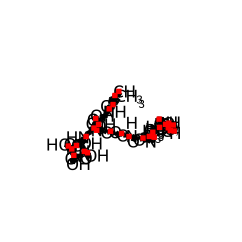 CC(C)Cc1ccc(CC(=O)NCCCCC(NC(=O)C(CCCCNC(=O)CN2CCN(CC(=O)O)CCN(CC(=O)O)CCN(CC(=O)O)CC2)NC(=O)CCOCCOCCOCCNC(=O)COc2ccc3c(C(=O)NCC(=O)N4CCC[C@H]4B4O[C@@H]5[C@@H]6C[C@H](C[C@]5(C)O4)C6(C)C)ccnc3c2)C(=O)O)cc1